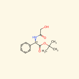 CC(C)(C)OC(=O)[C@H](NC(=O)CO)c1ccccc1